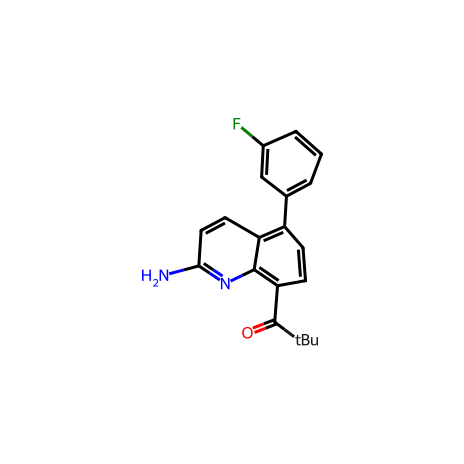 CC(C)(C)C(=O)c1ccc(-c2cccc(F)c2)c2ccc(N)nc12